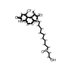 CCc1c(C)c2c3c(C(F)(F)F)cc(=O)[nH]c3ccc2n1CCCCCCCCC[S+]([O-])CCO